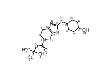 CC(C)(C)OC(=O)N1CCc2nc(NC3CCC(O)CC3)sc2C1